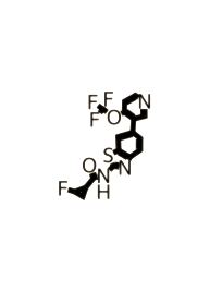 O=C(Nc1nc2ccc(-c3cnccc3OC(F)(F)F)cc2s1)C1CC1F